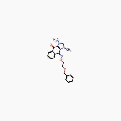 CN1CN(C)C2=C1C(=O)c1ccccc1C2=NOCCOCc1ccccc1